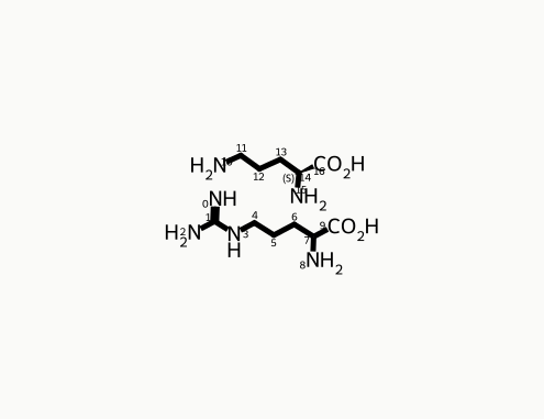 N=C(N)NCCCC(N)C(=O)O.NCCC[C@H](N)C(=O)O